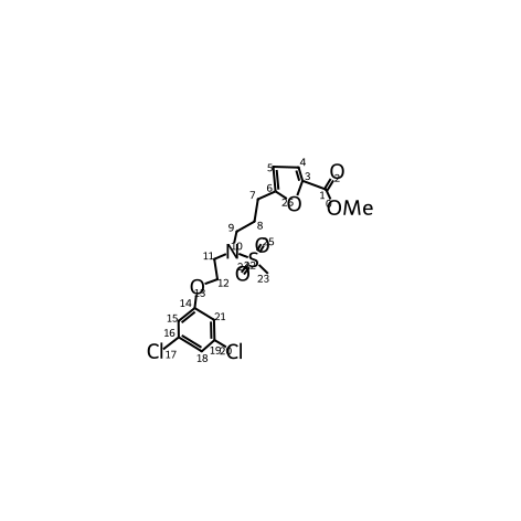 COC(=O)c1ccc(CCCN(CCOc2cc(Cl)cc(Cl)c2)S(C)(=O)=O)o1